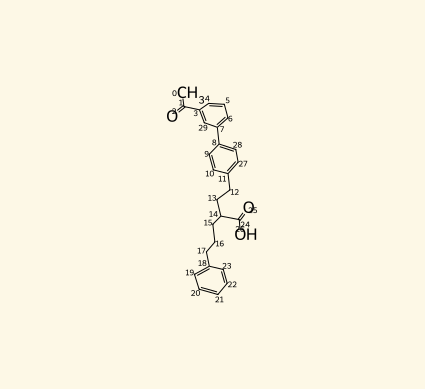 CC(=O)c1cccc(-c2ccc(CCC(CCCc3ccccc3)C(=O)O)cc2)c1